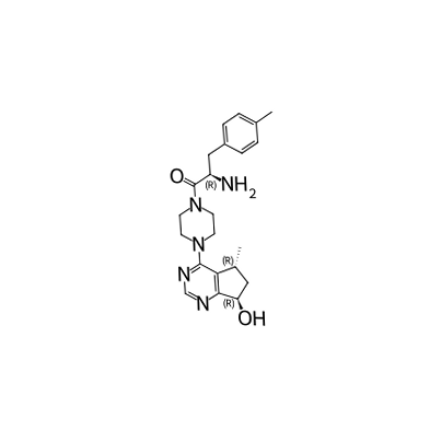 Cc1ccc(C[C@@H](N)C(=O)N2CCN(c3ncnc4c3[C@H](C)C[C@H]4O)CC2)cc1